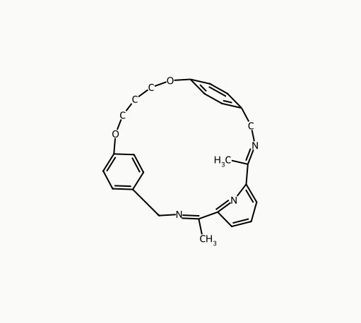 C/C1=N\Cc2ccc(cc2)OCCCOc2ccc(cc2)C/N=C(\C)c2cccc1n2